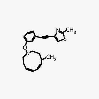 Cc1nc(C#Cc2cccc(ON3CC/C=C\C=C/C(C)CC3)c2)cs1